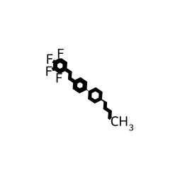 CCCCC[C@H]1CC[C@H](c2ccc(CCc3cc(F)c(F)c(F)c3F)cc2)CC1